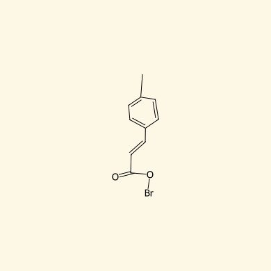 Cc1ccc(C=CC(=O)OBr)cc1